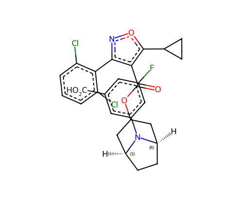 O=C(O)c1cc(F)cc(N2[C@@H]3CC[C@H]2CC(OC(=O)c2c(-c4c(Cl)cccc4Cl)noc2C2CC2)C3)c1